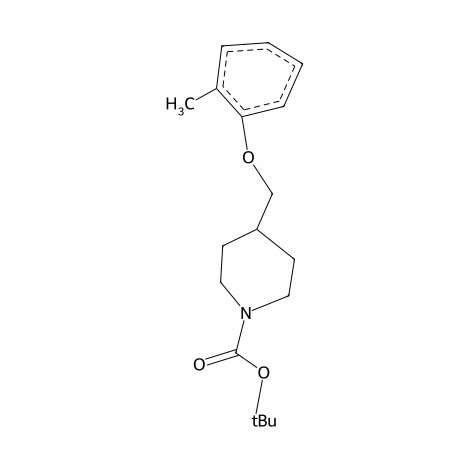 Cc1ccccc1OCC1CCN(C(=O)OC(C)(C)C)CC1